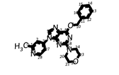 Cc1cc(-n2cnc3c(OCc4ccccc4)nc(N4CCOCC4)nc32)ccn1